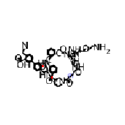 N#CCc1ccc(-c2ccc(CC3NC(=O)[C@]4(Cc5ccccc5)CCCN(C4)C(=O)/C=C/C(=O)NCC[C@@H](C(=N)NCCOCCN)NC(=O)Cc4ccccc4CNC3=O)cc2)cc1C(=O)O